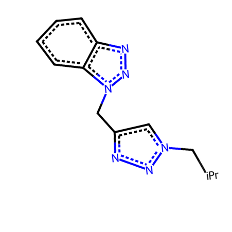 CC(C)Cn1cc(Cn2nnc3ccccc32)nn1